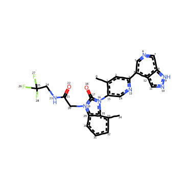 Cc1cc(-c2cncc3[nH]ncc23)ncc1-n1c(=O)n(CC(=O)NCC(F)(F)F)c2cccc(C)c21